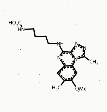 COc1cc2c(cc1C)nc(NCCCCNC(=O)O)c1nnc(C)n12